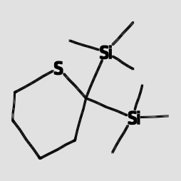 C[Si](C)(C)C1([Si](C)(C)C)CCCCS1